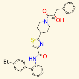 CCc1ccc(-c2ccccc2NC(=O)c2csc(C3CCN(C(=O)[C@H](O)Cc4ccccc4)CC3)n2)cc1